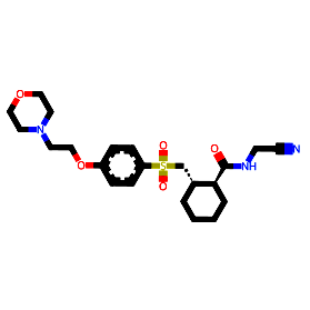 N#CCNC(=O)[C@H]1CCCC[C@@H]1CS(=O)(=O)c1ccc(OCCN2CCOCC2)cc1